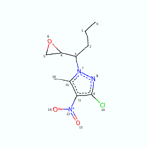 CCCC(C1CO1)n1nc(Cl)c([N+](=O)[O-])c1C